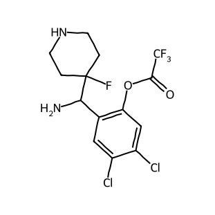 NC(c1cc(Cl)c(Cl)cc1OC(=O)C(F)(F)F)C1(F)CCNCC1